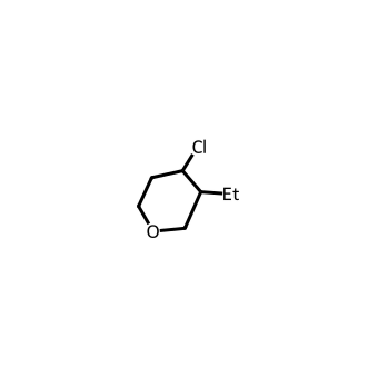 CCC1COCCC1Cl